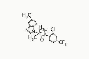 Cc1ccc2c(c1)ncn2C(C)(C)C(=O)Nc1ccc(C(F)(F)F)cc1Cl